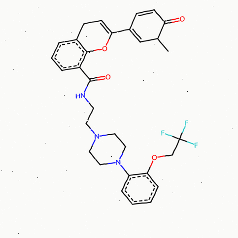 CC1C=C(C2=CCc3cccc(C(=O)NCCN4CCN(c5ccccc5OCC(F)(F)F)CC4)c3O2)C=CC1=O